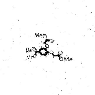 COC(=O)COc1ccc(C(OC)OC)cc1OCC(=O)OC